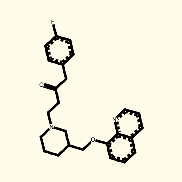 O=C(CCN1CCCC(COc2cccc3cccnc23)C1)Cc1ccc(F)cc1